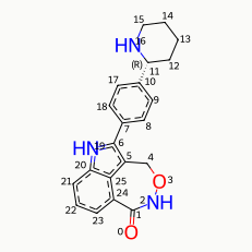 O=C1NOCc2c(-c3ccc([C@H]4CCCCN4)cc3)[nH]c3cccc1c23